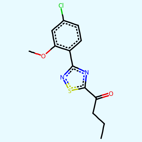 CCCC(=O)c1nc(-c2ccc(Cl)cc2OC)ns1